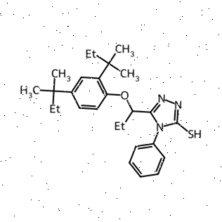 CCC(Oc1ccc(C(C)(C)CC)cc1C(C)(C)CC)c1nnc(S)n1-c1ccccc1